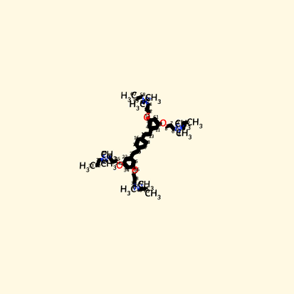 CCC[N+](C)(C)CCCOc1cc(/C=C/c2ccc(/C=C/c3cc(OCCC[N+](C)(C)CCC)cc(OCCC[N+](C)(C)CCC)c3)cc2)cc(OCCC[N+](C)(C)CCC)c1